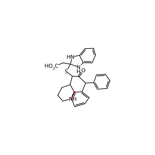 O=C(O)CC1(SC(C(=O)C(c2ccccc2)c2ccccc2)C2CCCNC2)Nc2ccccc2N1